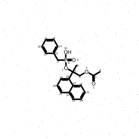 CC(=O)OCC(C)(OP(=O)(O)Cc1ccccc1)c1cccc2ccccc12